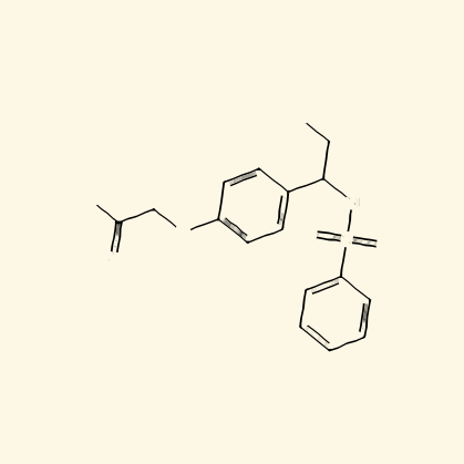 CCC(NS(=O)(=O)c1ccccc1)c1ccc(OCC(=O)O)cc1